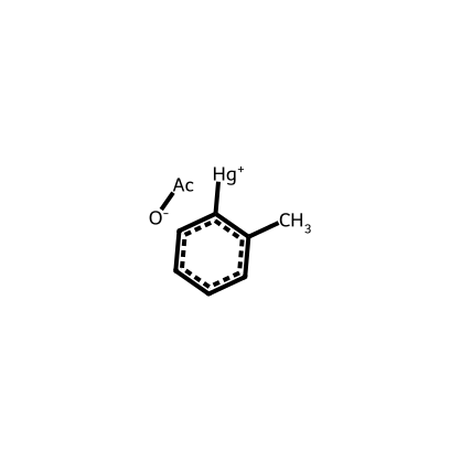 CC(=O)[O-].Cc1cccc[c]1[Hg+]